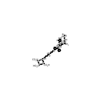 CCC(=O)NCCNC(=O)/N=C(/N)NCCC[C@@H](NC(=O)[C@@H](c1ccccc1)c1cccc(OCCCCNC(=O)CCCCCNCN2CCN(CC(=O)O)CCN(CC(=O)O)CCN(CC(=O)O)CC2)c1)C(=O)NCc1c(F)cc(O)cc1F